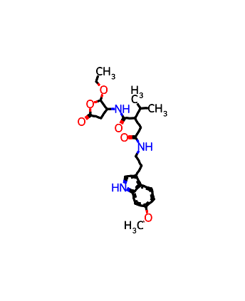 CCOC1OC(=O)CC1NC(=O)C(CC(=O)NCCc1c[nH]c2cc(OC)ccc12)C(C)C